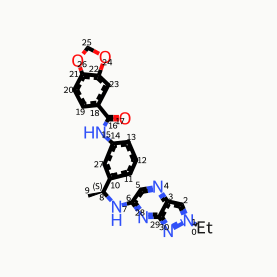 CCn1cc2ncc(N[C@@H](C)c3cccc(NC(=O)c4ccc5c(c4)OCO5)c3)nc2n1